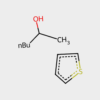 CCCCC(C)O.c1ccsc1